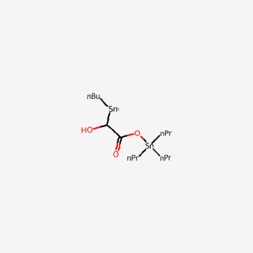 CCC[CH2][Sn][CH](O)C(=O)[O][Sn]([CH2]CC)([CH2]CC)[CH2]CC